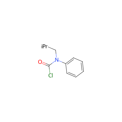 CC(C)CN(C(=O)Cl)c1ccccc1